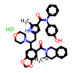 Cc1[nH]c(CC(c2cc3c(cc2C(=O)N2Cc4ccccc4C[C@H]2C)OCO3)N2CCOCC2)cc1C(=O)N(c1ccccc1)c1ccc(O)cc1.Cl